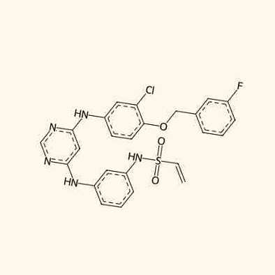 C=CS(=O)(=O)Nc1cccc(Nc2cc(Nc3ccc(OCc4cccc(F)c4)c(Cl)c3)ncn2)c1